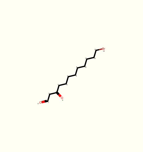 O=CCC(=O)CCCCCCCCCBr